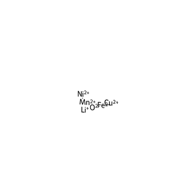 [Cu+2].[Fe+2].[Li+].[Mn+2].[Ni+2].[O-2]